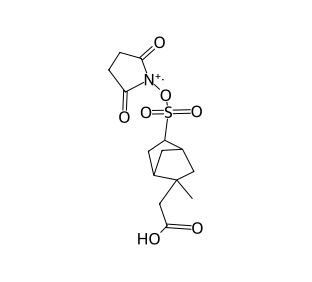 CC1(CC(=O)O)CC2CC1CC2S(=O)(=O)O[N+]1C(=O)CCC1=O